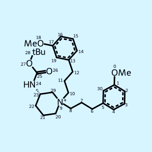 COc1cccc(CCC[N+]2(CCCc3cccc(OC)c3)CCC[C@H](NC(=O)OC(C)(C)C)C2)c1